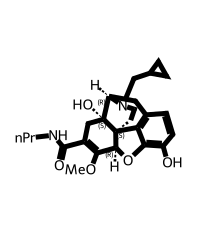 CCCNC(=O)C1=C(OC)[C@@H]2Oc3c(O)ccc4c3[C@@]23CCN(CC2CC2)[C@H](C4)[C@]3(O)C1